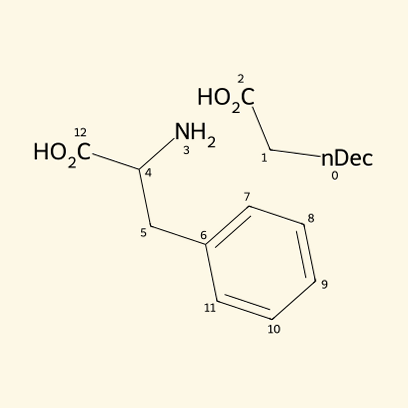 CCCCCCCCCCCC(=O)O.NC(Cc1ccccc1)C(=O)O